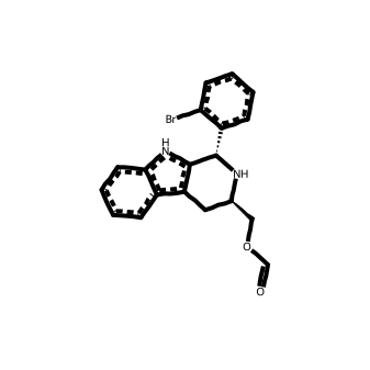 O=COC[C@H]1Cc2c([nH]c3ccccc23)[C@H](c2ccccc2Br)N1